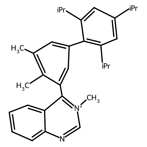 Cc1cc(-c2c(C(C)C)cc(C(C)C)cc2C(C)C)cc(-c2c3ccccc3nc[n+]2C)c1C